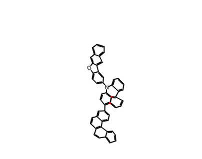 c1ccc(-c2ccccc2N(c2ccc(-c3ccc4c(ccc5ccc6ccccc6c54)c3)cc2)c2ccc3oc4cc5ccccc5cc4c3c2)cc1